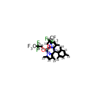 CC1=CC(C)=N/C1=C(/c1c(C)cc(C)cc1C)c1c(C)cc(C)n1B(OCC(F)(F)C(F)(F)F)OCC(F)(F)C(F)(F)F